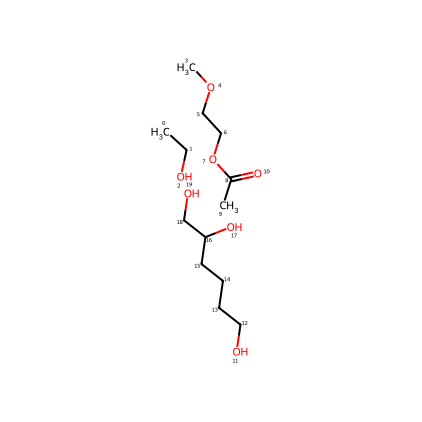 CCO.COCCOC(C)=O.OCCCCC(O)CO